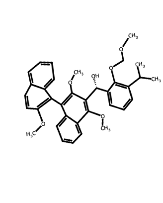 COCOc1c(C(C)C)cccc1[C@@H](O)c1c(OC)c(-c2c(OC)ccc3ccccc23)c2ccccc2c1OC